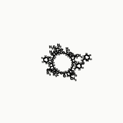 CC(C)C[C@H]1C(=O)O[C@H](Cc2ccc(OCc3ccccn3)cc2)C(=O)N(C)[C@@H](CC(C)C)C(=O)O[C@H](C)C(=O)N(C)[C@@H](CC(C)C)C(=O)O[C@H](Cc2ccccc2)C(=O)N(C)C(C=O)(CC(C)C)CO[C@H](C)C(=O)N1C